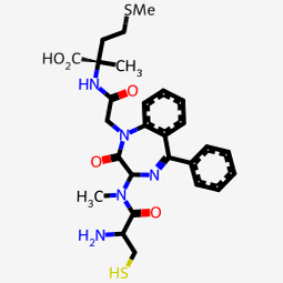 CSCC[C@](C)(NC(=O)CN1C(=O)C(N(C)C(=O)C(N)CS)N=C(c2ccccc2)c2ccccc21)C(=O)O